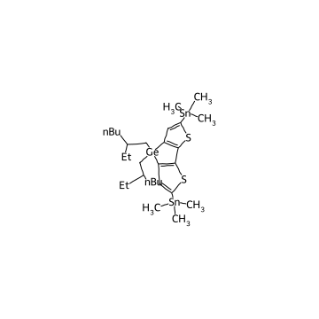 CCCCC(CC)[CH2][Ge]1([CH2]C(CC)CCCC)[c]2c[c]([Sn]([CH3])([CH3])[CH3])sc2-c2s[c]([Sn]([CH3])([CH3])[CH3])c[c]21